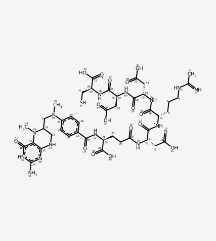 CC(=N)NCCC[C@H](NC(=O)[C@H](CC(=O)O)NC(=O)CC[C@H](NC(=O)c1ccc(N(C)CC2CNc3nc(N)[nH]c(=O)c3N2C)cc1)C(=O)O)C(=O)N[C@@H](CC(=O)O)C(=O)N[C@@H](CC(=O)O)C(=O)N[C@@H](CS)C(=O)O